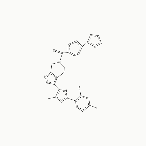 Cc1sc(-c2ccc(F)cc2F)nc1-c1nnc2n1CCN(C(=O)c1ccc(-c3cccs3)cc1)C2